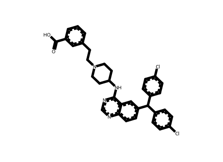 O=C(O)c1cccc(CCN2CCC(Nc3ncnc4ccc(C(c5ccc(Cl)cc5)c5ccc(Cl)cc5)cc34)CC2)c1